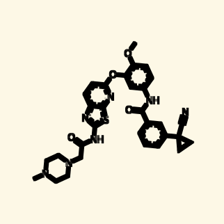 COc1ccc(NC(=O)c2cccc(C3(C#N)CC3)c2)cc1Oc1ccc2nc(NC(=O)CN3CCN(C)CC3)sc2n1